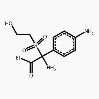 CCC(=O)C(N)(c1ccc(N)cc1)S(=O)(=O)CCO